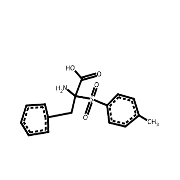 Cc1ccc(S(=O)(=O)C(N)(Cc2ccccc2)C(=O)O)cc1